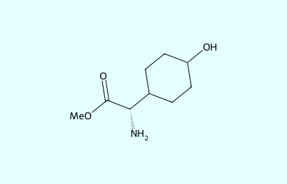 COC(=O)[C@@H](N)C1CCC(O)CC1